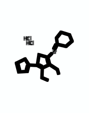 CCC1=[C]([Zr]=[C]2CCCCC2)CC(C2=CC=CC2)=C1CC.Cl.Cl